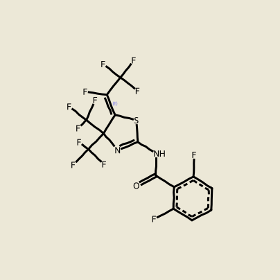 O=C(NC1=NC(C(F)(F)F)(C(F)(F)F)/C(=C(\F)C(F)(F)F)S1)c1c(F)cccc1F